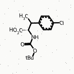 CC(c1ccc(Cl)cc1)[C@H](NC(=O)OC(C)(C)C)C(=O)O